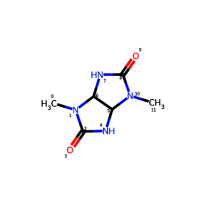 CN1C(=O)NC2C1NC(=O)N2C